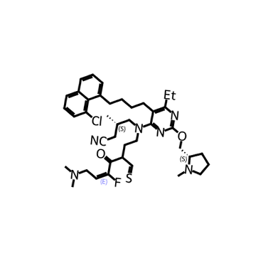 CCc1nc(OC[C@@H]2CCCN2C)nc(N(CCC(C=S)C(=O)/C(F)=C\CN(C)C)C[C@@H](C)CC#N)c1CCCCc1cccc2cccc(Cl)c12